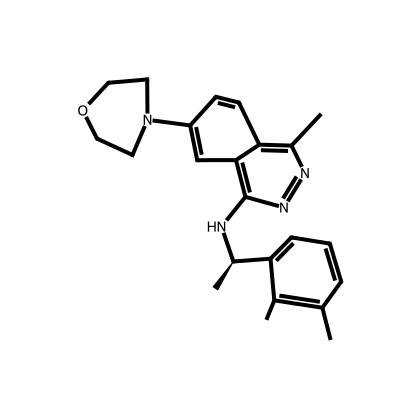 Cc1cccc([C@@H](C)Nc2nnc(C)c3ccc(N4CCOCC4)cc23)c1C